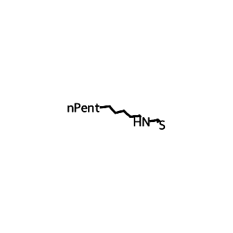 CCCCCCCCCCNC=S